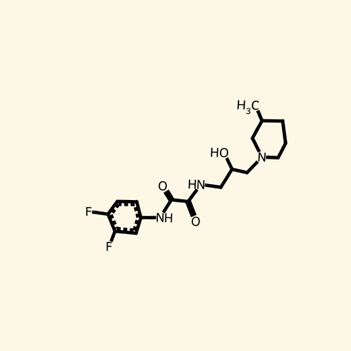 CC1CCCN(CC(O)CNC(=O)C(=O)Nc2ccc(F)c(F)c2)C1